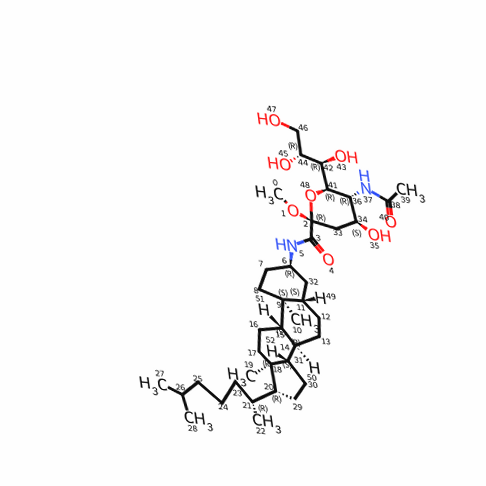 CO[C@]1(C(=O)N[C@@H]2CC[C@@]3(C)[C@@H](CC[C@@H]4[C@@H]3CC[C@]3(C)[C@@H]([C@H](C)CCCC(C)C)CC[C@@H]43)C2)C[C@H](O)[C@@H](NC(C)=O)[C@H]([C@H](O)[C@H](O)CO)O1